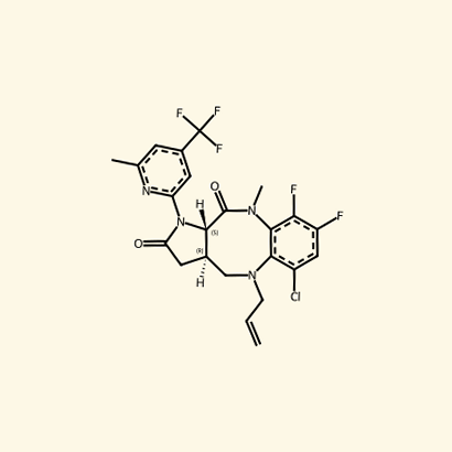 C=CCN1C[C@H]2CC(=O)N(c3cc(C(F)(F)F)cc(C)n3)[C@@H]2C(=O)N(C)c2c(F)c(F)cc(Cl)c21